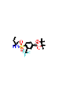 CCC(C)(C)NS(=O)(=O)c1ccc(B2OC(C)(C)C(C)(C)O2)cc1C(F)(F)F